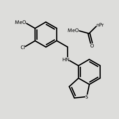 CCCC(=O)OC.COc1ccc(CNc2cccc3sccc23)cc1Cl